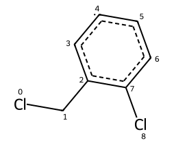 ClCc1c[c]ccc1Cl